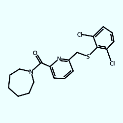 O=C(c1cccc(CSc2c(Cl)cccc2Cl)n1)N1CCCCCC1